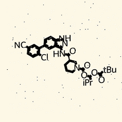 CC(C)C(OC(=O)N1CCC[C@@H](C(=O)Nc2n[nH]c3ccc(-c4cc(C#N)ccc4Cl)cc23)C1)OC(=O)C(C)(C)C